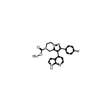 CC(C)(C)OC(=O)N1CCn2nc(-c3ccc(F)cc3)c(-c3ccnc4[nH]ccc34)c2C1